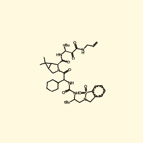 C=CCNC(=O)C(=O)C(CCCC)NC(=O)C1C2C(CN1C(=O)C(NC(=O)NC(CN1Cc3ccccc3S1(=O)=O)C(C)(C)C)C1CCCCC1)C2(C)C